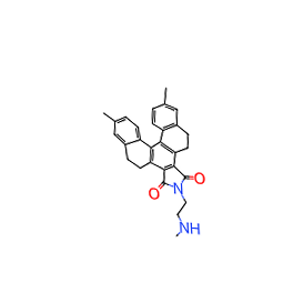 CNCCN1C(=O)c2c3c(c4c(c2C1=O)CCc1cc(C)ccc1-4)-c1ccc(C)cc1CC3